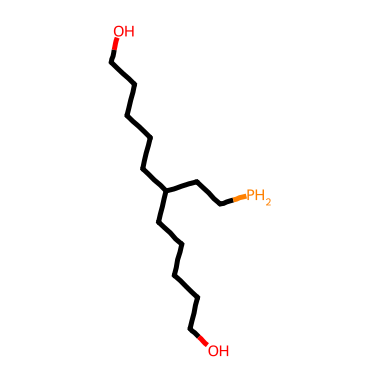 OCCCCCC(CCP)CCCCCO